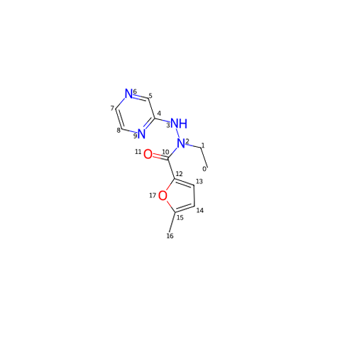 CCN(Nc1cnccn1)C(=O)c1ccc(C)o1